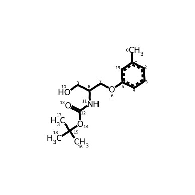 Cc1cccc(OCC(CO)NC(=O)OC(C)(C)C)c1